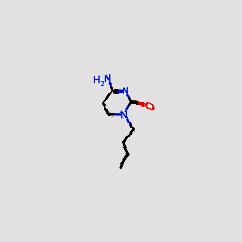 CCCCN1CCC(N)=NC1=O